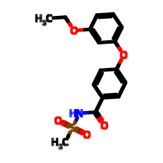 CCOc1cccc(Oc2ccc(C(=O)NS(C)(=O)=O)cc2)c1